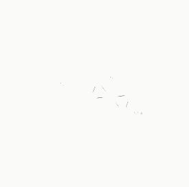 COc1ccc(C2CN(C)Cc3cc(OCCCN4CC(C)OC(C)C4)ccc32)cc1